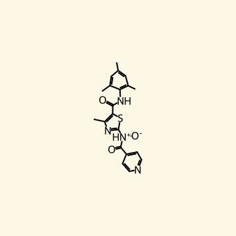 Cc1cc(C)c(NC(=O)c2sc([NH+]([O-])C(=O)c3ccncc3)nc2C)c(C)c1